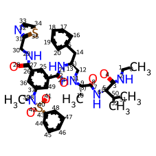 CCNC(=O)[C@@H](NC(=O)[C@H](C)NC[C@H](Cc1ccccc1)NC(=O)c1cc(C(=O)NCc2nccs2)cc(N(C)S(=O)(=O)c2ccccc2)c1)C(C)C